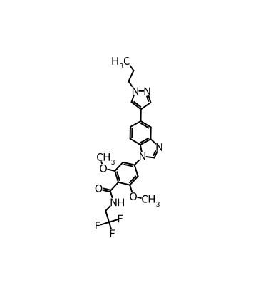 CCCn1cc(-c2ccc3c(c2)ncn3-c2cc(OC)c(C(=O)NCC(F)(F)F)c(OC)c2)cn1